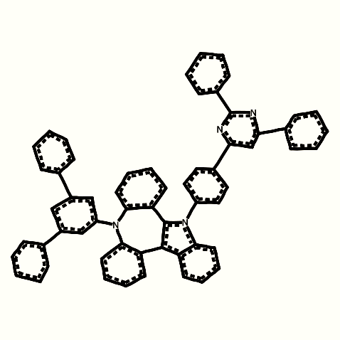 c1ccc(-c2cc(-c3ccccc3)cc(N3c4ccccc4-c4c(n(-c5ccc(-c6cc(-c7ccccc7)nc(-c7ccccc7)n6)cc5)c5ccccc45)-c4ccccc43)c2)cc1